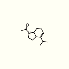 CC(=O)N1CCC2C(C(C)C)=CCCC21